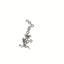 CN(C)C(=O)C[C@H](CSc1ccccc1)Nc1ccc(S(=O)(=O)NC(=O)c2ccc(N3CCN(Cc4ccccc4-c4ccc(Cl)cc4)CC3)cc2)cc1[N+](=O)[O-]